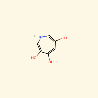 OC1=CNC=C(O)C(O)=C1.[H+]